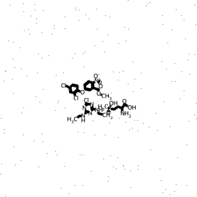 CCNc1nc(Cl)nc(NCC)n1.COC(=O)c1cc(Oc2ccc(Cl)cc2Cl)ccc1[N+](=O)[O-].CP(=O)(O)CCC(N)C(=O)O